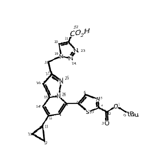 CC(C)(C)OC(=O)c1ncc(-c2cc(C3CC3)cc3cc(Cn4cc(C(=O)O)nn4)nn23)s1